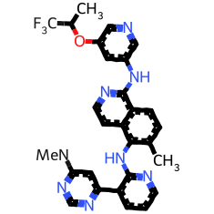 CNc1cc(-c2cccnc2Nc2c(C)ccc3c(Nc4cncc(OC(C)C(F)(F)F)c4)nccc23)ncn1